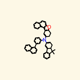 CC1(C)c2ccccc2C2=CC(N(C3=Cc4c(oc5ccc6ccccc6c45)CC3)c3cccc(-c4cccc5ccccc45)c3)=CCC21